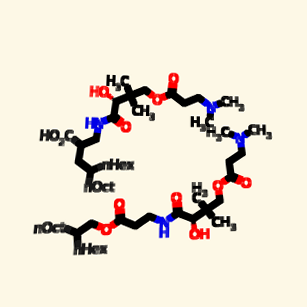 CCCCCCCCC(CCCCCC)CC(CNC(=O)[C@H](O)C(C)(C)COC(=O)CCN(C)C)C(=O)O.CCCCCCCCC(CCCCCC)COC(=O)CCNC(=O)[C@H](O)C(C)(C)COC(=O)CCN(C)C